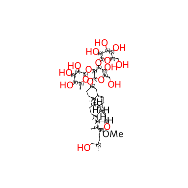 CO[C@]1(CC[C@H](C)CO)O[C@H]2C[C@H]3[C@@H]4CC=C5C[C@@H](O[C@@H]6O[C@H](CO)[C@@H](O)[C@H](O[C@@H]7O[C@H](CO)[C@@H](O)[C@H](O)[C@H]7O)[C@H]6O[C@@H]6O[C@@H](C)[C@H](O)[C@@H](O)[C@H]6O)CC[C@]5(C)[C@H]4CC[C@]3(C)[C@H]2[C@@H]1C